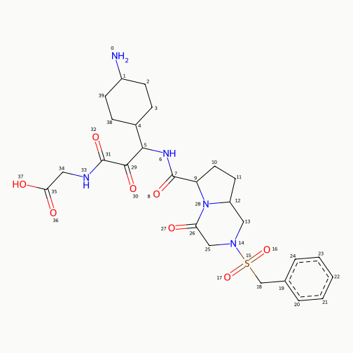 NC1CCC(C(NC(=O)C2CCC3CN(S(=O)(=O)Cc4ccccc4)CC(=O)N32)C(=O)C(=O)NCC(=O)O)CC1